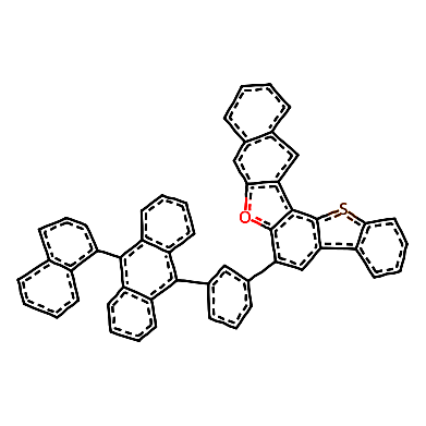 c1cc(-c2c3ccccc3c(-c3cccc4ccccc34)c3ccccc23)cc(-c2cc3c4ccccc4sc3c3c2oc2cc4ccccc4cc23)c1